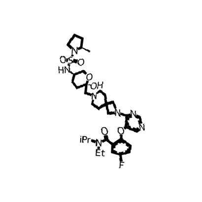 CCN(C(=O)c1cc(F)ccc1Oc1cncnc1N1CC2(CCN(C[C@@]3(O)CC[C@@H](NS(=O)(=O)N4CCC[C@H]4C)CO3)CC2)C1)C(C)C